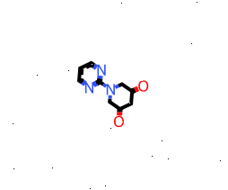 O=C1CC(=O)CN(c2ncccn2)C1